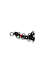 Cc1cc(Cl)ccc1OCCCC(=O)NC1CCC(n2c(=O)c3cc(F)cnc3n(C3CCSCC3)c2=O)CC1